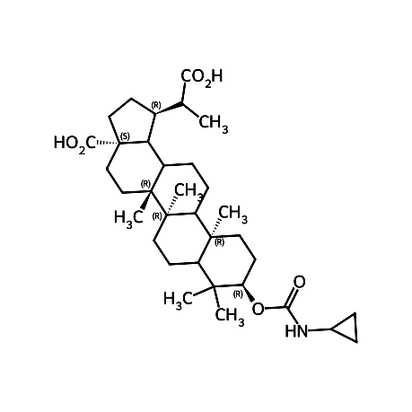 CC(C(=O)O)[C@@H]1CC[C@]2(C(=O)O)CC[C@]3(C)C(CCC4[C@@]5(C)CC[C@@H](OC(=O)NC6CC6)C(C)(C)C5CC[C@]43C)C12